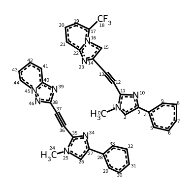 Cn1cc(-c2ccccc2)nc1C#Cc1cn2c(C(F)(F)F)cccc2n1.Cn1cc(-c2ccccc2)nc1C#Cc1nc2ccccn2n1